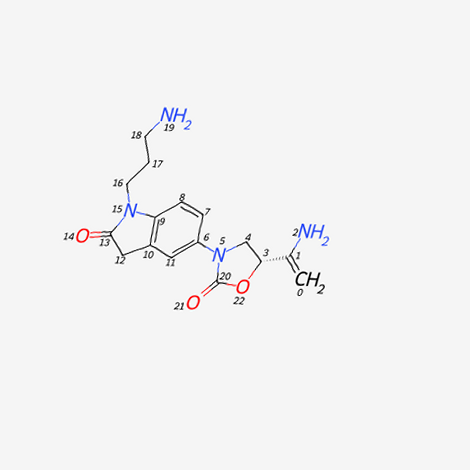 C=C(N)[C@H]1CN(c2ccc3c(c2)CC(=O)N3CCCN)C(=O)O1